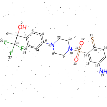 C[C@](O)(c1ccc(N2CCN(S(=O)(=O)C3=CC(N)=CCC3=S)CC2)cc1)C(F)(F)F